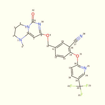 CN1CCCn2c1cc(OCc1ccc(Oc3ccc(C(F)(F)F)cn3)c(C#N)c1)nc2=O